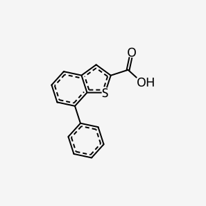 O=C(O)c1cc2cccc(-c3ccccc3)c2s1